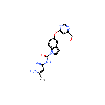 N=C(/C=C(\N)C(F)(F)F)NC(=O)n1ccc2cc(Oc3cc(CO)ncn3)ccc21